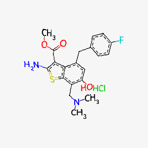 COC(=O)c1c(N)sc2c(CN(C)C)c(O)cc(Cc3ccc(F)cc3)c12.Cl